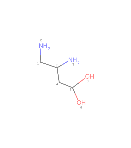 NCC(N)CC(O)O